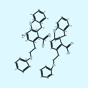 O=C([O-])c1c(CCOc2ccccc2)ccc2c1Cc1ccccc1O2.O=C([O-])c1c(CCOc2ccccc2)ccc2c1Cc1ccccc1O2.[Pt+2]